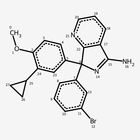 COc1ccc(C2(c3cccc(Br)c3)N=C(N)c3cccnc32)cc1C1CC1